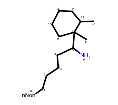 CCCCCCCCCCCCCC(N)C1(C)CCCCC1C